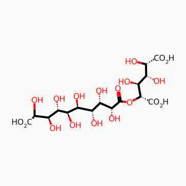 O=C(O)[C@@H](O)[C@H](O)[C@H](O)[C@H](O)[C@@H](O)[C@@H](O)[C@H](O)[C@@H](O)C(=O)O[C@@H](C(=O)O)[C@@H](O)[C@@H](O)[C@H](O)C(=O)O